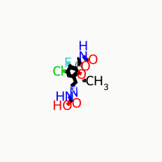 CCOc1c(C/C=N/NC(=O)O)cc(Cl)c(F)c1[C@@H]1CNC(=O)O1